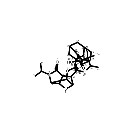 CC(C)N1C(=O)C2C3SC(C(OC(=O)C45CC6CC(C4)C(=O)C(C6)C5)C31)C2C(=O)OC(C)C(F)(F)S(=O)(=O)O